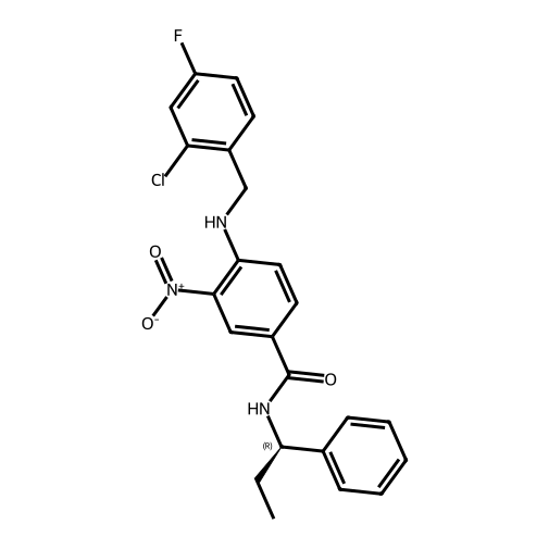 CC[C@@H](NC(=O)c1ccc(NCc2ccc(F)cc2Cl)c([N+](=O)[O-])c1)c1ccccc1